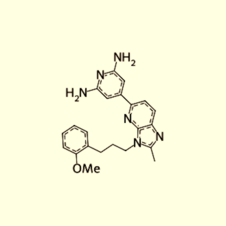 COc1ccccc1CCCn1c(C)nc2ccc(-c3cc(N)nc(N)c3)nc21